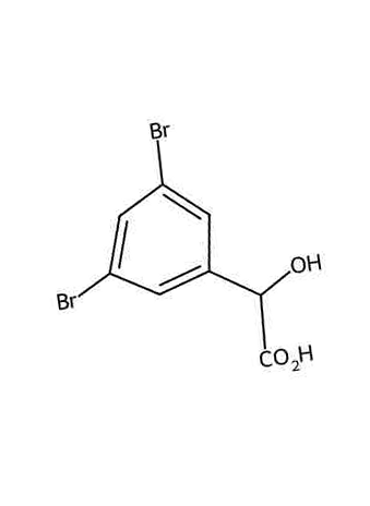 O=C(O)C(O)c1cc(Br)cc(Br)c1